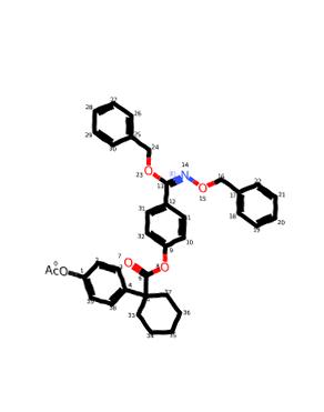 CC(=O)Oc1ccc(C2(C(=O)Oc3ccc(/C(=N\OCc4ccccc4)OCc4ccccc4)cc3)CCCCC2)cc1